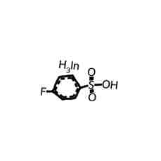 O=S(=O)(O)c1ccc(F)cc1.[InH3]